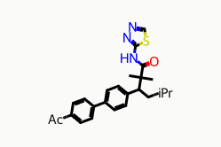 CC(=O)c1ccc(-c2ccc(C(CC(C)C)C(C)(C)C(=O)Nc3nncs3)cc2)cc1